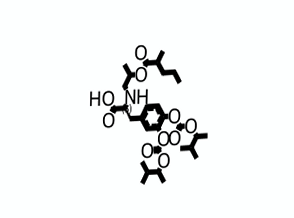 CCCC(C)C(=O)OC(C)CN[C@@H](Cc1ccc(OC(=O)OC(C)C(C)C)c(OC(=O)OC(C)C(C)C)c1)C(=O)O